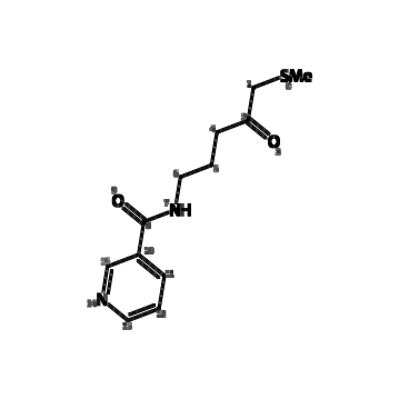 CSCC(=O)CCCNC(=O)c1cccnc1